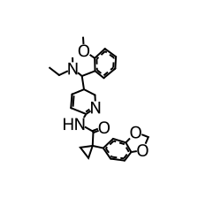 CCN(C)C(c1ccccc1OC)C1C=CC(NC(=O)C2(c3ccc4c(c3)OCO4)CC2)=NC1